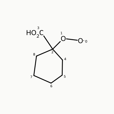 [O]OC1(C(=O)O)CCCCC1